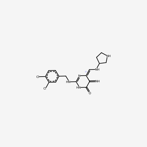 N=C1C(=O)NC(NCc2ccc(Cl)c(Cl)c2)=N/C1=C/NC1CCNC1